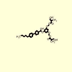 C=C(CO)C(=O)OCOc1cc(OCOC(=O)C(=C)CO)cc(OC(O)c2ccc(-c3ccc(CCCCC)cc3)cc2)c1